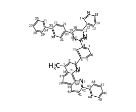 Cc1cc(-c2cccc(-c3nc(-c4ccccc4)cc(-c4ccc(-c5ccccc5)cc4)n3)c2)nc2c1ccc1ccc(-c3ccccc3)nc12